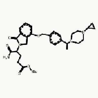 CC(c1ccc(COc2cccc3c2CN(C(CCC(=O)OC(C)(C)C)C(N)=O)C3=O)cc1)N1CCN(C2CC2)CC1